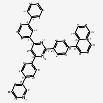 c1ccc(-c2cccc(-c3cc(-c4ccc(-c5cccnc5)cc4)nc(-c4ccc(-c5cccc6ccccc56)cc4)n3)c2)cc1